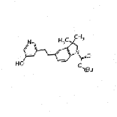 CC(C)(C)OC(=O)N1CC(C)(C)c2cc(CCc3cncc(O)c3)ccc21